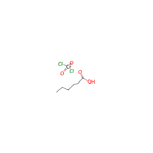 CCCCCC(=O)O.[O]=[Cr](=[O])([Cl])[Cl]